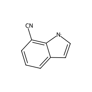 N#Cc1cccc2c1[N]C=C2